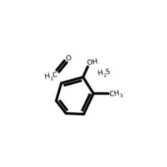 C=O.Cc1ccccc1O.S